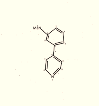 CNc1cccc(-c2ccncc2)c1